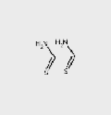 NC=S.NC=S